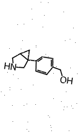 OCc1ccc(C23CNCC2C3)cc1